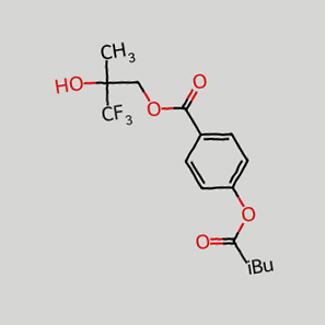 CCC(C)C(=O)Oc1ccc(C(=O)OCC(C)(O)C(F)(F)F)cc1